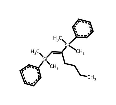 CCCCC(=C[Si](C)(C)c1ccccc1)[Si](C)(C)c1ccccc1